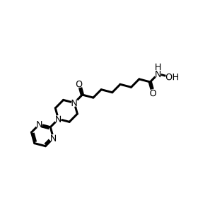 O=C(CCCCCCC(=O)N1CCN(c2ncccn2)CC1)NO